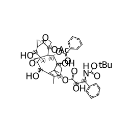 CC(=O)O[C@@]12CO[C@@]13CC3[C@H](O)[C@@]1(C)C(=O)[C@H](O)C3=C(C)[C@@H](OC(=O)[C@H](O)[C@@H](NC(=O)OC(C)(C)C)c4ccccc4)C[C@@](O)([C@@H](OC(=O)c4ccccc4)C12)C3(C)C